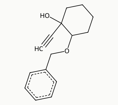 C#CC1(O)CCCCC1OCc1ccccc1